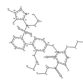 CCCCc1nc(C)c(C(=O)OCC)c(=O)n1Cc1ccc(-c2ccccc2S(=O)(=O)N(COC)c2noc(C)c2C)c(COCC)c1